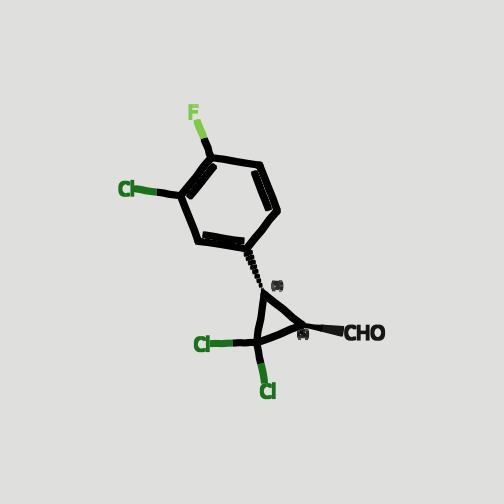 O=C[C@@H]1[C@@H](c2ccc(F)c(Cl)c2)C1(Cl)Cl